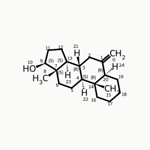 C=C1C[C@@H]2[C@H](CC[C@]3(C)[C@@H](O)CC[C@@H]23)[C@@]2(C)CCCC[C@H]12